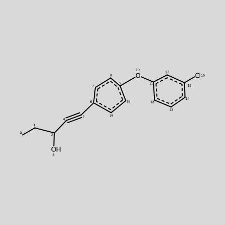 CCC(O)C#Cc1ccc(Oc2cccc(Cl)c2)cc1